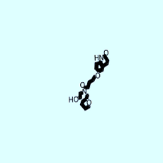 O=C1CCc2cc(OCCCCC(=O)N(CCO)CC3CCCCO3)ccc2N1